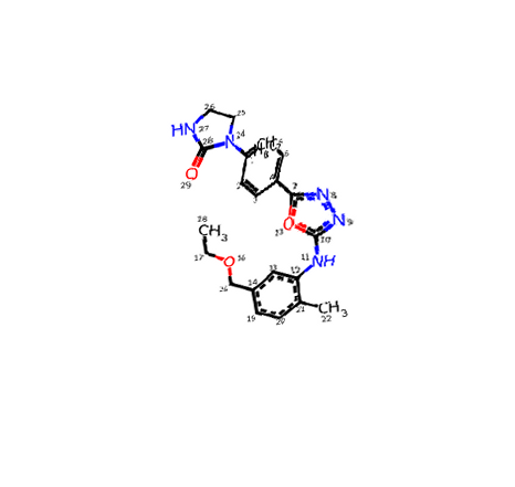 C=C(/C=C\C(=C/C)c1nnc(Nc2cc(COCC)ccc2C)o1)N1CCNC1=O